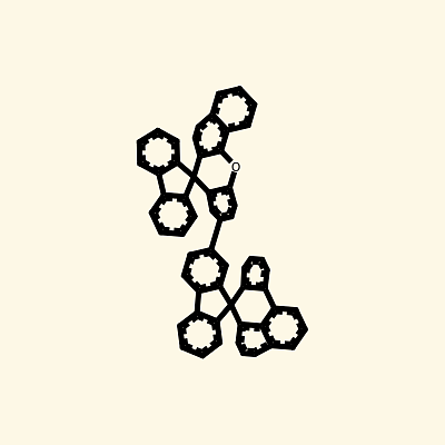 c1ccc2c(c1)-c1ccccc1C21c2cc(-c3ccc4c(c3)C3(c5ccccc5-4)c4ccccc4-c4cccc5cccc3c45)ccc2Oc2c1ccc1ccccc21